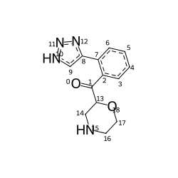 O=C(c1ccccc1-c1c[nH]nn1)C1CNCCO1